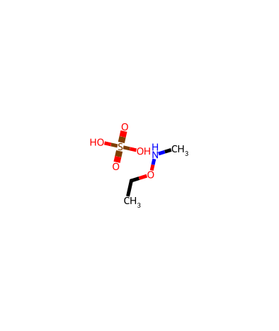 CCONC.O=S(=O)(O)O